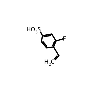 C=Cc1ccc(S(=O)(=O)O)cc1F